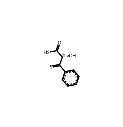 O=C(S)[C@H](O)C(=S)c1ccccc1